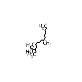 CCCCCCC(C)CCCC(C)CC(CC)C(=O)O